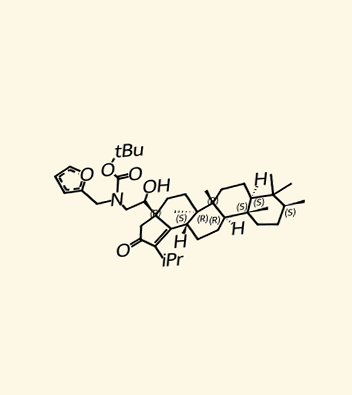 CC(C)C1=C2[C@H]3CC[C@@H]4[C@@]5(C)CC[C@H](C)C(C)(C)[C@@H]5CC[C@@]4(C)[C@]3(C)CC[C@@]2(C(O)CN(Cc2ccco2)C(=O)OC(C)(C)C)CC1=O